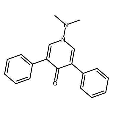 CN(C)n1cc(-c2ccccc2)c(=O)c(-c2ccccc2)c1